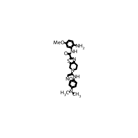 COc1ccc(N)c(NC(=O)c2nc3c(s2)CN(C(=C[N+](=O)[O-])Nc2ccc(N(C)C)cc2)CC3)c1